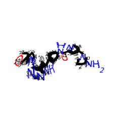 N[C@@H]1CCCN(Cc2ccnc(C(=O)Nc3ccc(-c4cc5c(N6CCC7(CCOC7)C6)ncnc5[nH]4)cc3)c2)C1